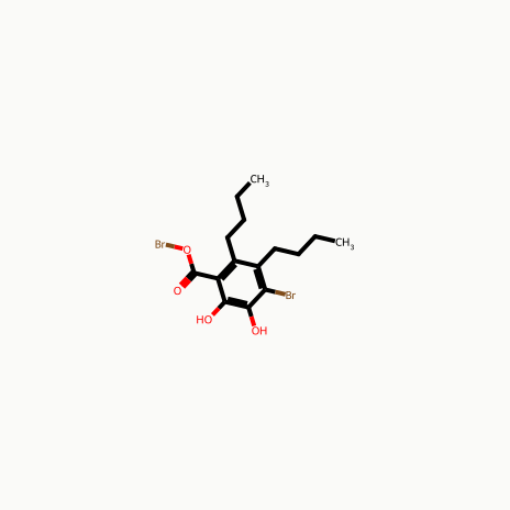 CCCCc1c(Br)c(O)c(O)c(C(=O)OBr)c1CCCC